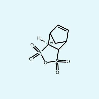 O=S1(=O)OS(=O)(=O)[C@H]2C3C=CC(C3)C21